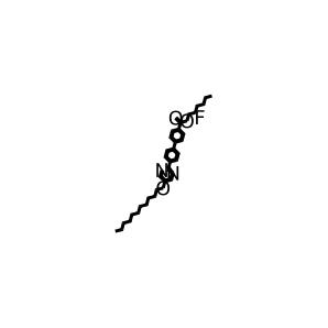 CCCCCCCCCCCOc1cnc(-c2ccc(-c3ccc(C(=O)OCC(F)CCCC)cc3)cc2)nc1